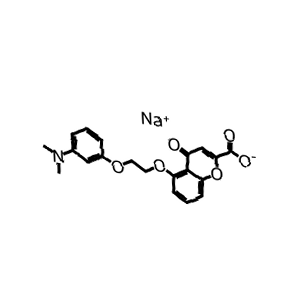 CN(C)c1cccc(OCCOc2cccc3oc(C(=O)[O-])cc(=O)c23)c1.[Na+]